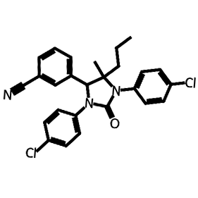 CCCC1(C)C(c2cccc(C#N)c2)N(c2ccc(Cl)cc2)C(=O)N1c1ccc(Cl)cc1